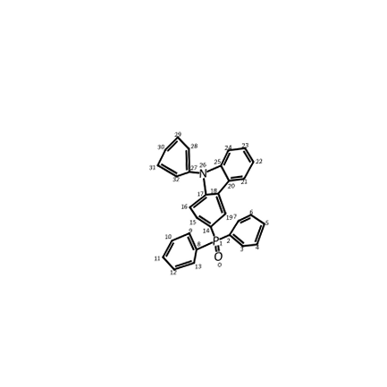 O=P(c1ccccc1)(c1ccccc1)c1ccc2c(c1)c1ccccc1n2-c1ccccc1